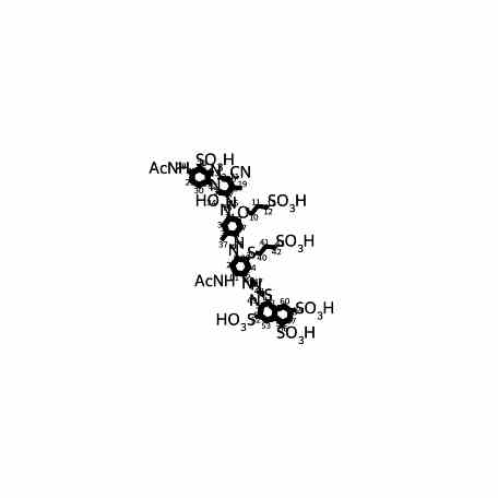 CC(=O)Nc1cc(N=Nc2cc(OCCCS(=O)(=O)O)c(N=Nc3c(C)c(C#N)c4nc5c(S(=O)(=O)O)c(NC(C)=O)ccc5n4c3O)cc2C)c(SCCCS(=O)(=O)O)cc1N=Nc1nc2c(S(=O)(=O)O)cc3c(S(=O)(=O)O)cc(S(=O)(=O)O)cc3c2s1